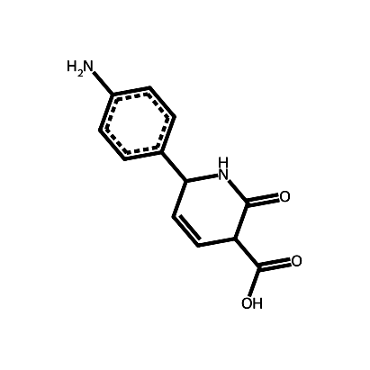 Nc1ccc(C2C=CC(C(=O)O)C(=O)N2)cc1